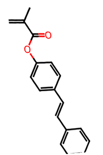 C=C(C)C(=O)Oc1ccc(C=Cc2ccccc2)cc1